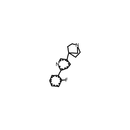 Fc1ccccc1-c1ccc(C23CCN(CC2)C3)cn1